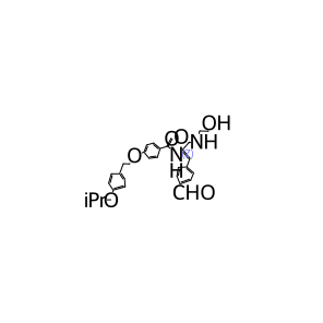 CC(C)Oc1ccc(CCOc2ccc(C(=O)N/C(=C\c3ccc(C=O)cc3)C(=O)NCCO)cc2)cc1